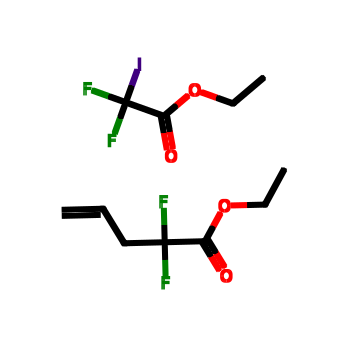 C=CCC(F)(F)C(=O)OCC.CCOC(=O)C(F)(F)I